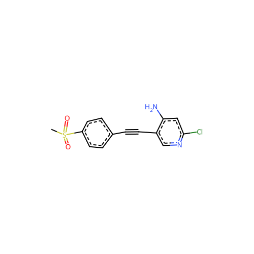 CS(=O)(=O)c1ccc(C#Cc2cnc(Cl)cc2N)cc1